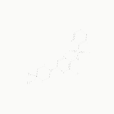 Cc1nc(N2CCC(C)(N)CC2)cnc1NS(=O)(=O)c1ccccc1